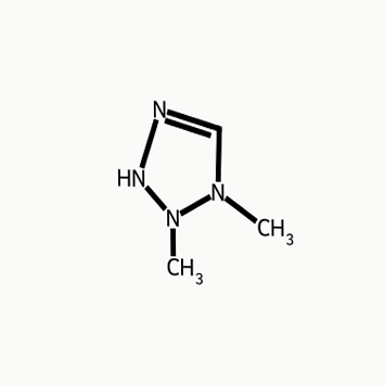 CN1C=NNN1C